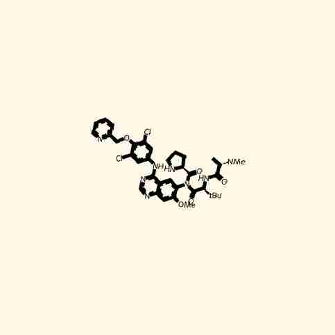 CN[C@@H](C)C(=O)N[C@H](C(=O)N(C(=O)[C@@H]1CCCN1)c1cc2c(Nc3cc(Cl)c(OCc4ccccn4)c(Cl)c3)ncnc2cc1OC)C(C)(C)C